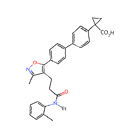 CCN(C(=O)CCc1c(C)noc1-c1ccc(-c2ccc(C3(C(=O)O)CC3)cc2)cc1)c1ccccc1C